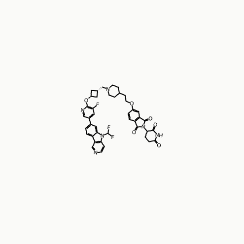 O=C1CCC(N2C(=O)c3ccc(OCCC4CCN(C[C@H]5C[C@H](Oc6ncc(-c7ccc8c9cnccc9n(C(F)F)c8c7)cc6F)C5)CC4)cc3C2=O)C(=O)N1